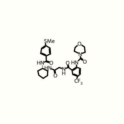 CSc1ccc(C(=O)N[C@H]2CCCC[C@H]2NC(=O)CNC(=O)c2cc(C(F)(F)F)ccc2NC(=O)N2CCOCC2)cc1